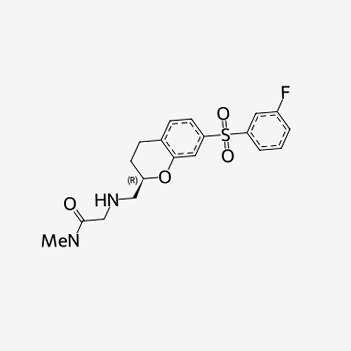 CNC(=O)CNC[C@H]1CCc2ccc(S(=O)(=O)c3cccc(F)c3)cc2O1